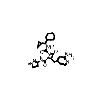 CN(C(=O)[C@@H]1C(Cc2ccnc(N)c2)C(=O)N1C(=O)N[C@@H](C1CCCCC1)C1CC1)c1ccn(C)n1